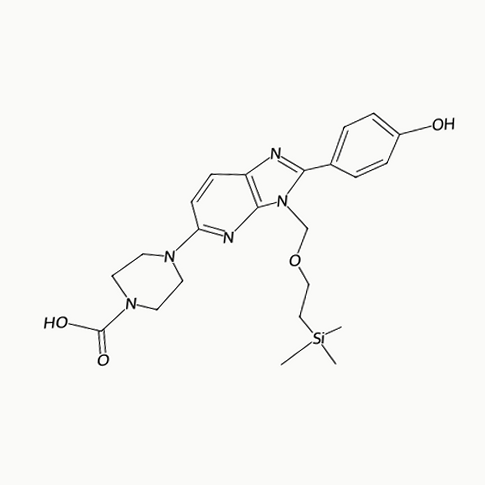 C[Si](C)(C)CCOCn1c(-c2ccc(O)cc2)nc2ccc(N3CCN(C(=O)O)CC3)nc21